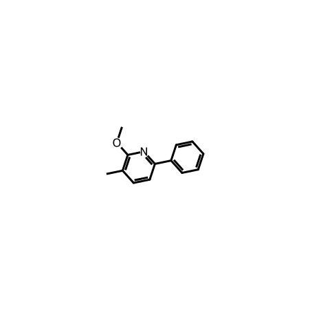 COc1nc(-c2ccccc2)ccc1C